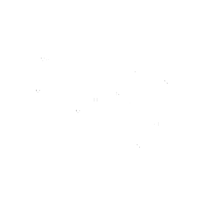 COc1cc(CC(N(C)C(=O)c2cccnc2Cl)C2(O)CCNCC2)cc(OC)c1OC